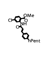 CCCCCc1ccc(C=CC(=O)Nc2cc(Cl)ccc2C(=O)OC)cc1